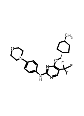 C[C@H]1CC[C@H](COc2nc(Nc3ccc(N4CCOCC4)cc3)ncc2C(F)(F)F)CC1